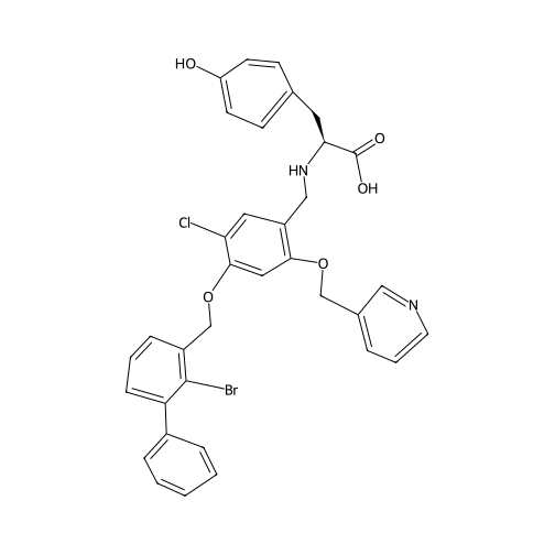 O=C(O)[C@H](Cc1ccc(O)cc1)NCc1cc(Cl)c(OCc2cccc(-c3ccccc3)c2Br)cc1OCc1cccnc1